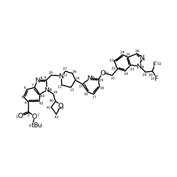 CC(C)(C)OC(=O)c1ccc2nc(CN3CCC(c4cccc(OCc5ccc6cnn(CC(F)F)c6c5)n4)CC3)n(CC3CCO3)c2c1